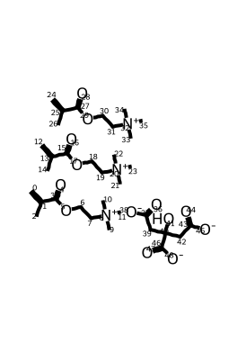 C=C(C)C(=O)OCC[N+](C)(C)C.C=C(C)C(=O)OCC[N+](C)(C)C.C=C(C)C(=O)OCC[N+](C)(C)C.O=C([O-])CC(O)(CC(=O)[O-])C(=O)[O-]